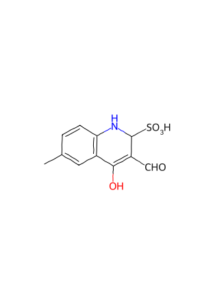 Cc1ccc2c(c1)C(O)=C(C=O)C(S(=O)(=O)O)N2